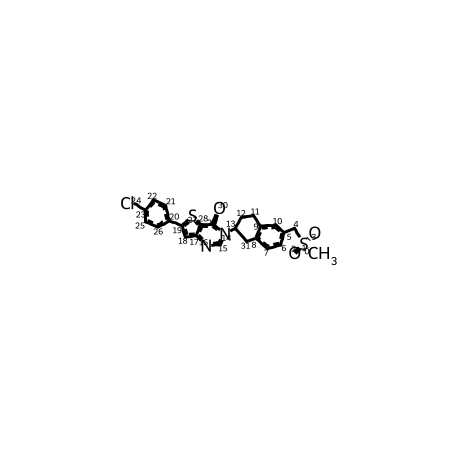 CS(=O)(=O)Cc1ccc2c(c1)CCC(n1cnc3cc(-c4ccc(Cl)cc4)sc3c1=O)C2